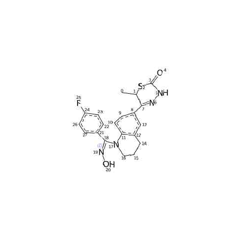 CC1SC(=O)NN=C1c1ccc2c(c1)CCCN2/C(=N\O)c1ccc(F)cc1